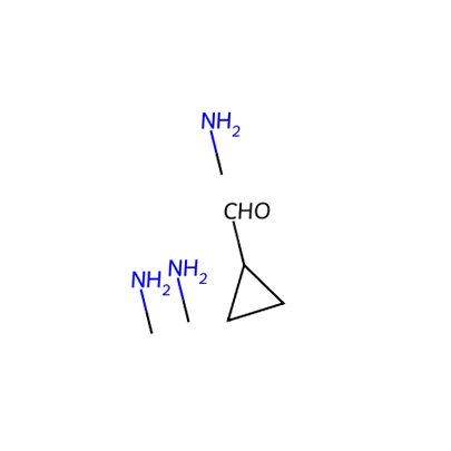 CN.CN.CN.O=CC1CC1